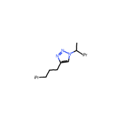 CC(C)CCCc1cn(C(C)C(C)C)nn1